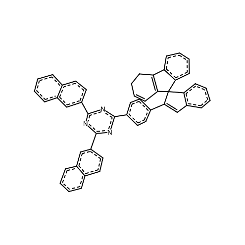 C1=CC2=C(CC1)c1ccccc1C21C(c2ccc(-c3nc(-c4ccc5ccccc5c4)nc(-c4ccc5ccccc5c4)n3)cc2)=Cc2ccccc21